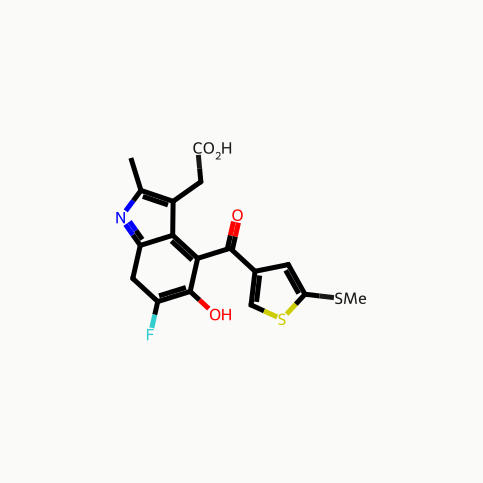 CSc1cc(C(=O)C2=C3C(=NC(C)=C3CC(=O)O)CC(F)=C2O)cs1